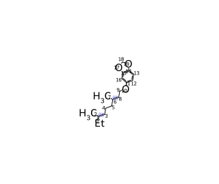 CC/C(C)=C/CC/C(C)=C/COc1ccc2c(c1)OCO2